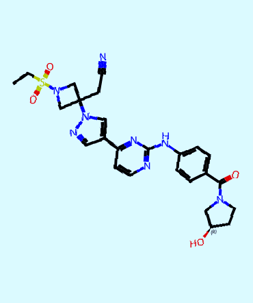 CCS(=O)(=O)N1CC(CC#N)(n2cc(-c3ccnc(Nc4ccc(C(=O)N5CC[C@@H](O)C5)cc4)n3)cn2)C1